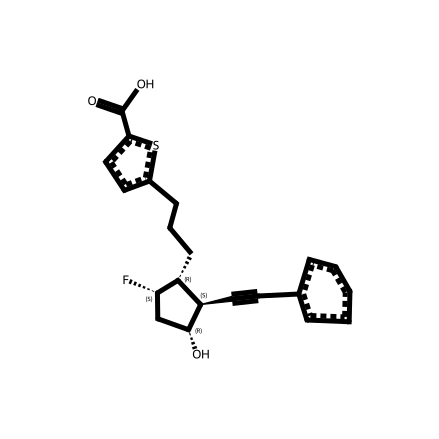 O=C(O)c1ccc(CCC[C@@H]2[C@@H](C#Cc3ccccc3)[C@H](O)C[C@@H]2F)s1